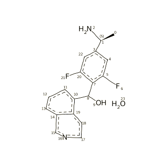 C[C@H](N)c1cc(F)c(C(O)c2cccc3cnccc23)c(F)c1.O